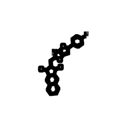 O=C1C(=Cc2nc3oc(-c4ccc(F)cc4)cc3o2)C(=O)c2cc3ccccc3cc21